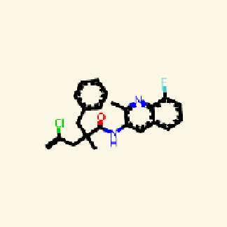 C=C(Cl)CC(C)(Cc1ccccc1)C(=O)Nc1cc2cccc(F)c2nc1C